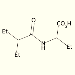 CCC(CC)C(=O)NC(CC)C(=O)O